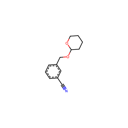 N#Cc1cccc(COC2CCCCO2)c1